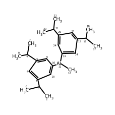 CC(C)c1cc(C(C)C)c[c]([Al]([CH3])[c]2cc(C(C)C)cc(C(C)C)c2)c1